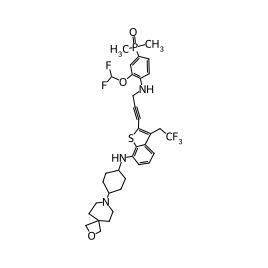 CP(C)(=O)c1ccc(NCC#Cc2sc3c(NC4CCC(N5CCC6(CC5)COC6)CC4)cccc3c2CC(F)(F)F)c(OC(F)F)c1